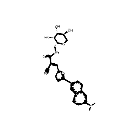 CN(C)c1ccc2cc(-c3ccc(/C=C(\C#N)C(=O)NC[C@H]4OC[C@H](O)[C@@H](O)[C@@H]4O)s3)ccc2c1